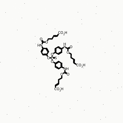 O=C(O)C=CCCOC(=O)Nc1ccc(OP(=S)(Oc2ccc(NC(=O)OCCC=CC(=O)O)cc2)Oc2ccc(NC(=O)OCCC=CC(=O)O)cc2)cc1